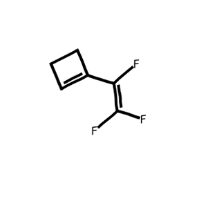 FC(F)=C(F)C1=CCC1